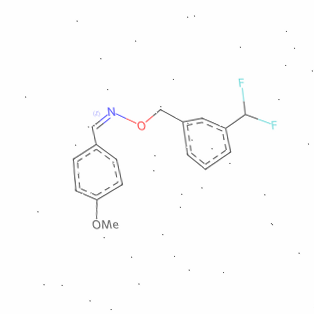 COc1ccc(/[C]=N\OCc2cccc(C(F)F)c2)cc1